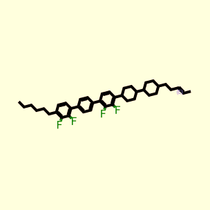 C/C=C/CCC1CCC(C2CCC(c3ccc(-c4ccc(-c5ccc(CCCCCC)c(F)c5F)cc4)c(F)c3F)CC2)CC1